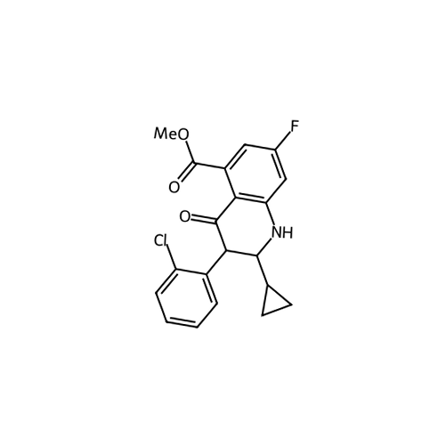 COC(=O)c1cc(F)cc2c1C(=O)C(c1ccccc1Cl)C(C1CC1)N2